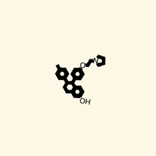 Cc1ccc(C2CCc3cc(O)ccc3C2c2ccc(OCCN3CCCC3)cc2)cc1